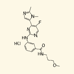 COCCCNC(=O)c1cccc(Nc2ncc(F)c(-c3cnc(C)n3C)n2)c1.Cl